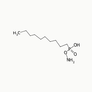 CCCCCCCCCCP(=O)(O)ON